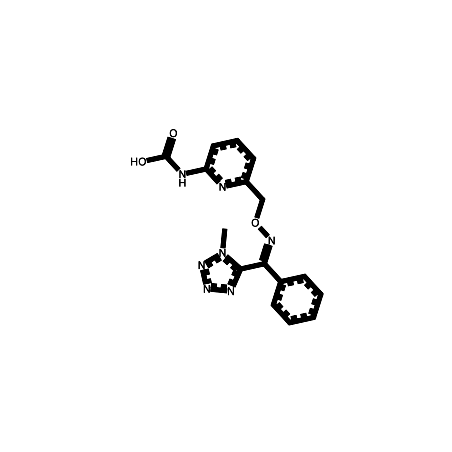 Cn1nnnc1C(=NOCc1cccc(NC(=O)O)n1)c1ccccc1